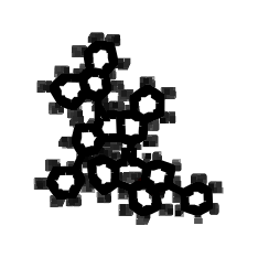 c1ccc(-c2ccc(N(c3ccccc3-c3ccccc3)c3cc4ccccc4c4c3c3cc(-c5ccccc5)ccc3n4-c3cc4ccccc4c4ccccc34)cc2)cc1